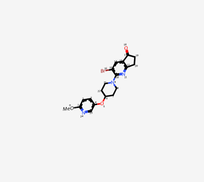 COc1ccc(OC2CCN(c3nc4c(cc3Br)C(=O)CC4)CC2)cn1